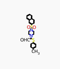 Cc1ccc(SC(C=O)N2CCN(S(=O)(=O)c3ccc4ccccc4c3)CC2)cc1